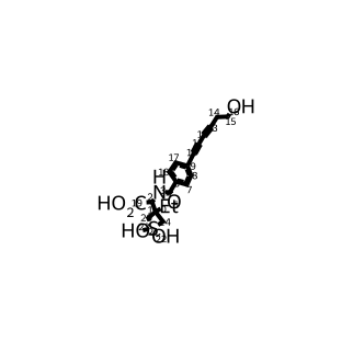 CCC1(C(NC(=O)c2ccc(C#CC#CCCO)cc2)C(=O)O)CS(O)(O)C1